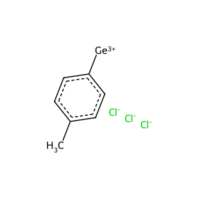 Cc1cc[c]([Ge+3])cc1.[Cl-].[Cl-].[Cl-]